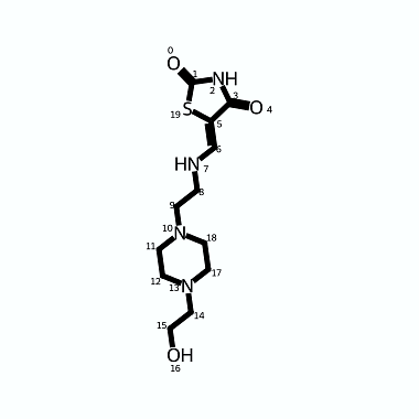 O=C1NC(=O)/C(=C/NCCN2CCN(CCO)CC2)S1